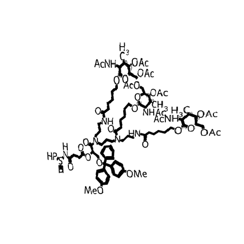 COc1ccc(C(OCC(OC(=O)CCC(=O)N[SH](=P)=S)C(=O)N(CCCNC(=O)CCCCCO[C@@H]2OC(COC(C)=O)[C@H](OC(C)=O)[C@H](C)C2NC(C)=O)CCCN(CCCNC(=O)CCCCCO[C@@H]2OC(COC(C)=O)[C@H](OC(C)=O)[C@H](C)C2NC(C)=O)C(=O)CCCCCO[C@@H]2OC(COC(C)=O)[C@H](OC(C)=O)[C@H](C)C2NC(C)=O)(c2ccccc2)c2ccc(OC)cc2)cc1